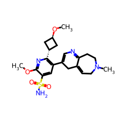 COc1nc([C@H]2C[C@H](OC)C2)c(C2=CN=C3CCN(C)CC=C3C2)cc1S(N)(=O)=O